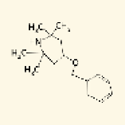 CC1(C)CC(OCc2ccccc2)CC(C)(C)N1